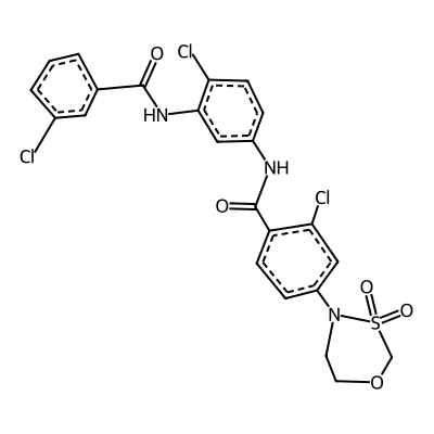 O=C(Nc1cc(NC(=O)c2ccc(N3CCOCS3(=O)=O)cc2Cl)ccc1Cl)c1cccc(Cl)c1